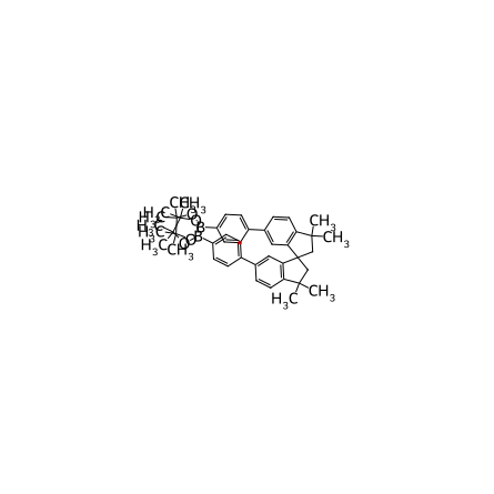 CC1(C)CC2(CC(C)(C)c3ccc(-c4ccc(B5OC(C)(C)C(C)(C)O5)cc4)cc32)c2cc(-c3ccc(B4OC(C)(C)C(C)(C)O4)cc3)ccc21